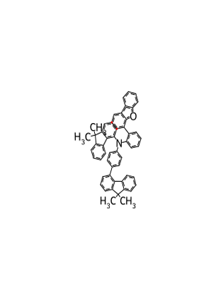 CC1(C)c2ccccc2-c2c(-c3ccc(N(c4ccccc4-c4cccc5c4oc4ccccc45)c4cccc5c4-c4ccccc4C5(C)C)cc3)cccc21